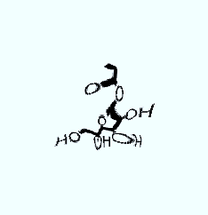 C=CC(=O)OC1O[C@H]([C@H](O)CO)[C@H](O)[C@@H]1O